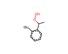 CC(OO)c1ccccc1C(C)(C)C